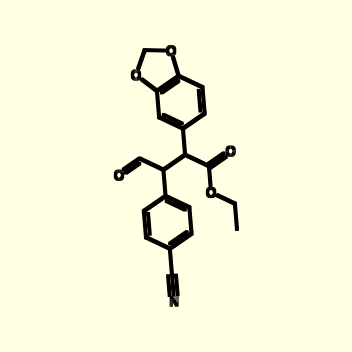 CCOC(=O)C(c1ccc2c(c1)OCO2)C(C=O)c1ccc(C#N)cc1